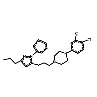 CCCc1cc(CCCN2CCN(c3ccc(Cl)c(Cl)c3)CC2)n(-c2ccccc2)n1